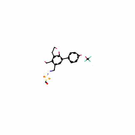 O=CS(=O)(=O)NCc1cc(-c2ccc(OC(F)(F)F)cc2)c2c(c1CO)CCO2